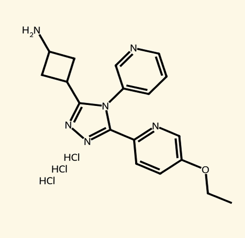 CCOc1ccc(-c2nnc(C3CC(N)C3)n2-c2cccnc2)nc1.Cl.Cl.Cl